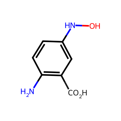 Nc1ccc(NO)cc1C(=O)O